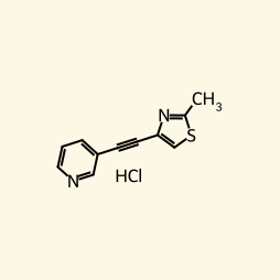 Cc1nc(C#Cc2cccnc2)cs1.Cl